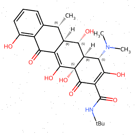 C[C@H]1c2cccc(O)c2C(=O)C2=C(O)[C@]3(O)C(=O)C(C(=O)NC(C)(C)C)=C(O)[C@@H](N(C)C)[C@@H]3[C@@H](O)[C@@H]21